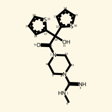 CNC(=N)N1CCN(C(=O)C(O)(c2cccs2)c2cccs2)CC1